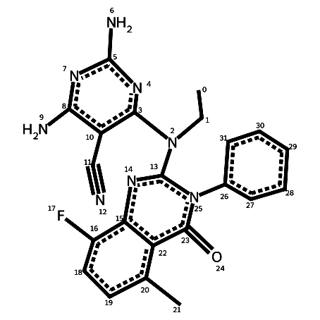 CCN(c1nc(N)nc(N)c1C#N)c1nc2c(F)ccc(C)c2c(=O)n1-c1ccccc1